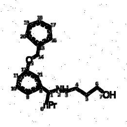 CCCC(NCCCCO)c1cccc(OCc2ccccc2)c1